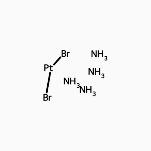 N.N.N.N.[Br][Pt][Br]